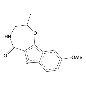 COc1ccc2sc3c(c2c1)OC(C)CNC3=O